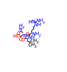 CC(C)C[C@H](NC(=O)[C@@H](N)CCCNC(=N)N)C(=O)N[C@@H](CC(N)=O)C(=O)O